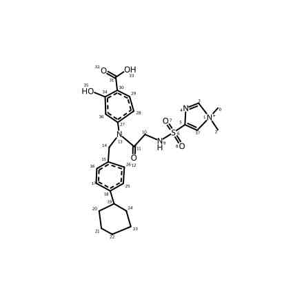 C[N+]1(C)C=NC(S(=O)(=O)NCC(=O)N(Cc2ccc(C3CCCCC3)cc2)c2ccc(C(=O)O)c(O)c2)=C1